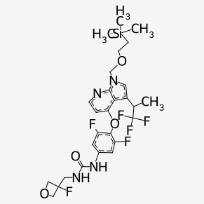 CC(c1cn(COCC[Si](C)(C)C)c2nccc(Oc3c(F)cc(NC(=O)NCC4(F)COC4)cc3F)c12)C(F)(F)F